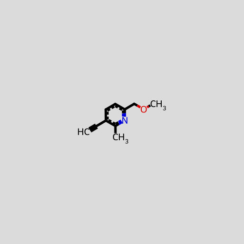 C#Cc1ccc(COC)nc1C